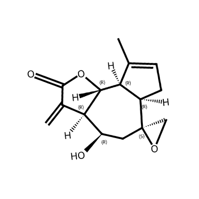 C=C1C(=O)O[C@@H]2[C@H]3C(C)=CC[C@H]3[C@]3(CO3)C[C@@H](O)[C@@H]12